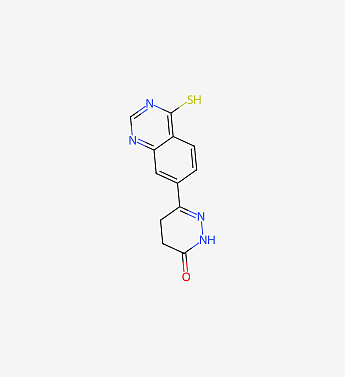 O=C1CCC(c2ccc3c(S)ncnc3c2)=NN1